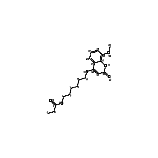 CCC(=O)OCCCCCCSc1cc(=O)oc2c(OC)cccc12